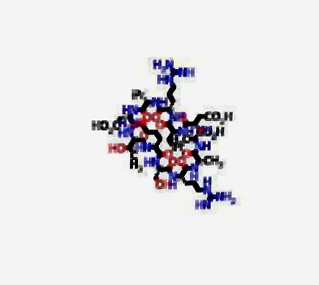 CC(C)C[C@H](NC(=O)[C@@H](N)CC(=O)O)C(=O)N[C@@H](CCCNC(=N)N)C(=O)N[C@H](C(=O)N[C@@H](CC(=O)O)C(=O)N[C@H](C(=O)N[C@@H](CCCCN)C(=O)N[C@@H](CO)C(=O)N[C@@H](CCCNC(=N)N)C(=O)N[C@@H](C)C(=O)N[C@@H](C)C(=O)O)[C@@H](C)O)C(C)C